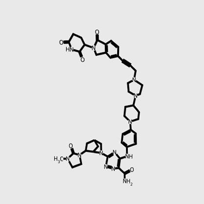 CN1CCN(C2CC3CC2N(c2nnc(C(N)=O)c(Nc4ccc(N5CCC(N6CCN(CC#Cc7ccc8c(c7)CN(C7CCC(=O)NC7=O)C8=O)CC6)CC5)cc4)n2)C3)C1=O